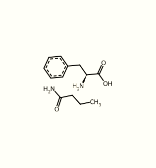 CCCC(N)=O.N[C@@H](Cc1ccccc1)C(=O)O